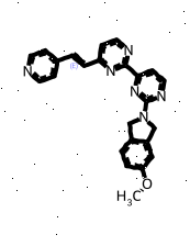 COc1ccc2c(c1)CN(c1nccc(-c3nccc(/C=C/c4ccncc4)n3)n1)C2